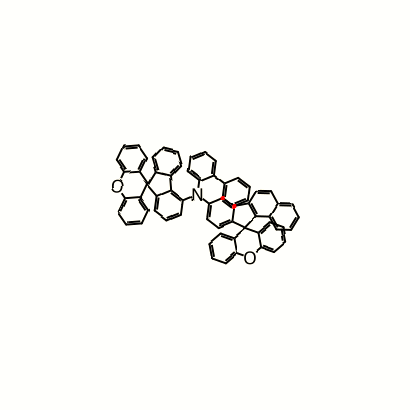 c1ccc(-c2ccccc2N(c2ccc3c(c2)-c2ccc4ccccc4c2C32c3ccccc3Oc3ccccc32)c2cccc3c2-c2ccccc2C32c3ccccc3Oc3ccccc32)cc1